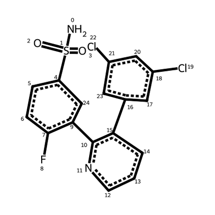 NS(=O)(=O)c1ccc(F)c(-c2ncccc2-c2cc(Cl)cc(Cl)c2)c1